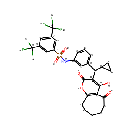 O=C1CCCCCc2oc(=O)c(C(c3cccc(NS(=O)(=O)c4cc(C(F)(F)F)cc(C(F)(F)F)c4)c3)C3CC3)c(O)c21